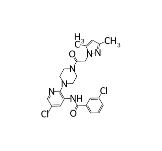 Cc1cc(C)n(CC(=O)N2CCN(c3ncc(Cl)cc3NC(=O)c3cccc(Cl)c3)CC2)n1